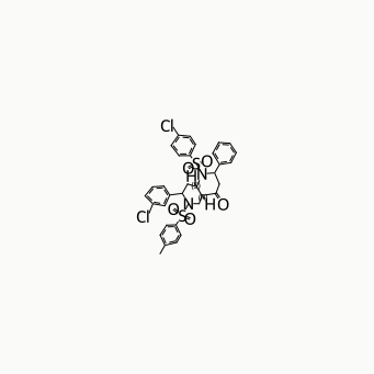 Cc1ccc(S(=O)(=O)N2C[C@H]3C(=O)CC(c4ccccc4)N(S(=O)(=O)c4ccc(Cl)cc4)[C@H]3CC2c2cccc(Cl)c2)cc1